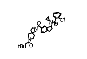 CC(C)(C)CC(=O)N1CCC2(CC1)CCN(C(=O)c1ccc3c(c1)C(N(C(=O)c1ccccc1Cl)C1CC1)CC3)C2